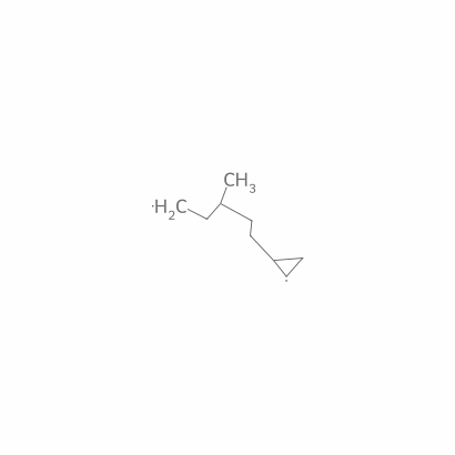 [CH2]CC(C)CCC1[CH]C1